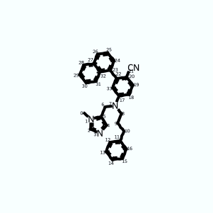 Cn1cncc1CN(CCCc1ccccc1)c1ccc(C#N)c(-c2cccc3ccccc23)c1